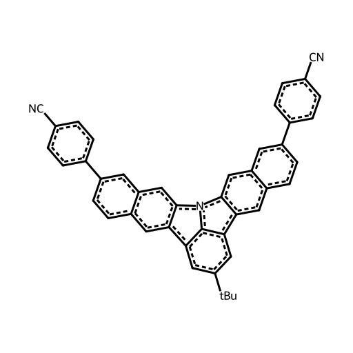 CC(C)(C)c1cc2c3cc4ccc(-c5ccc(C#N)cc5)cc4cc3n3c4cc5cc(-c6ccc(C#N)cc6)ccc5cc4c(c1)c23